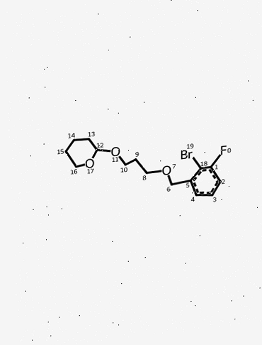 Fc1cccc(COCCCOC2CCCCO2)c1Br